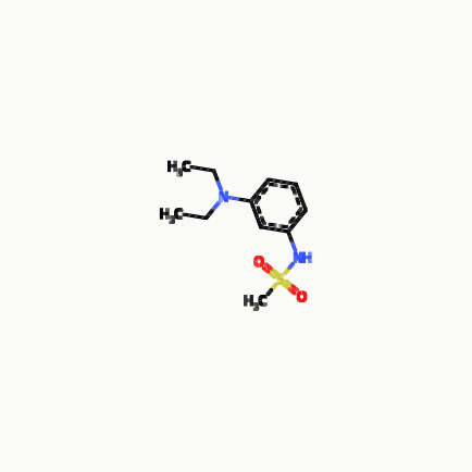 CCN(CC)c1cccc(NS(C)(=O)=O)c1